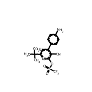 CCOC(=O)C(C)(C)c1cc(-c2ccc(N)cc2)c(C#N)c(OS(=O)(=O)C(F)(F)F)n1